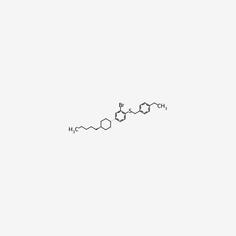 CCCCC[C@H]1CC[C@H](c2ccc(SCc3ccc(CC)cc3)c(Br)c2)CC1